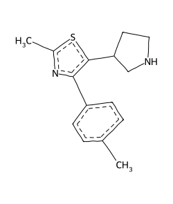 Cc1ccc(-c2nc(C)sc2C2CCNC2)cc1